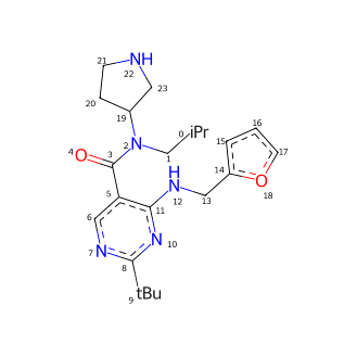 CC(C)CN(C(=O)c1cnc(C(C)(C)C)nc1NCc1ccco1)C1CCNC1